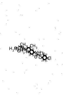 Cc1cc(NCC(C)(C)CN(C)C)nc2ccc(NC(=O)COc3ccc(Cl)cc3Cl)cc12